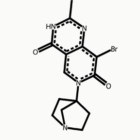 Cc1nc2c(Br)c(=O)n(C34CCN(CC3)C4)cc2c(=O)[nH]1